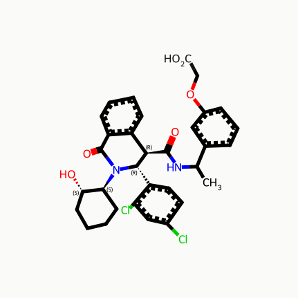 CC(NC(=O)[C@@H]1c2ccccc2C(=O)N([C@H]2CCCC[C@@H]2O)[C@H]1c1ccc(Cl)cc1Cl)c1cccc(OCC(=O)O)c1